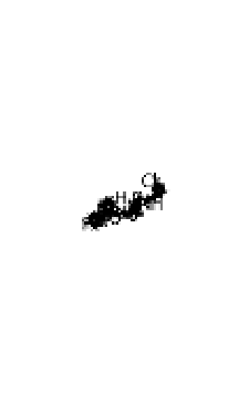 O=C(NCCc1cccc(Cl)c1)c1csc(CNC(=O)c2cccnc2Oc2ccc(F)cc2)n1